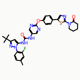 Cc1ccc(-n2nc(C(C)(C)C)cc2NC(=O)Nc2cnc(Oc3ccc(-c4cnc(N5CCCCC5=O)s4)cc3)nc2)c(F)c1